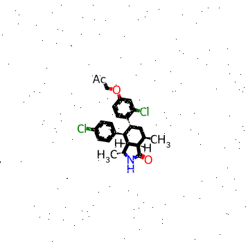 CC(=O)COc1ccc([C@@H]2C[C@@H](C)[C@H]3C(=O)N[C@H](C)[C@H]3[C@H]2c2ccc(Cl)cc2)c(Cl)c1